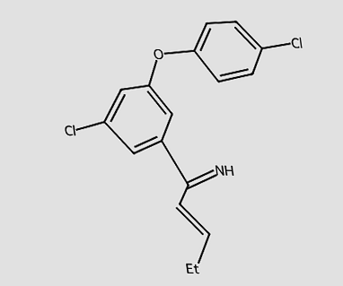 CC/C=C/C(=N)c1cc(Cl)cc(Oc2ccc(Cl)cc2)c1